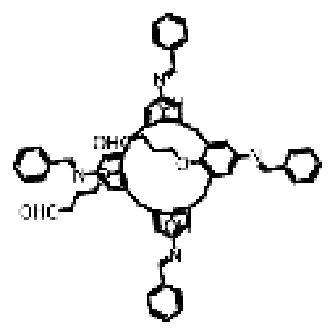 O=CCCCOc1c2cc(/N=C/c3ccccc3)cc1Cc1cc(/N=C/c3ccccc3)cc(c1O)Cc1cc(/N=C/c3ccccc3)cc(c1OCCCC=O)Cc1cc(/N=C/c3ccccc3)cc(c1O)C2